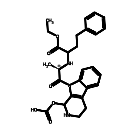 CCOC(=O)C(CCc1ccccc1)N[C@@H](C)C(=O)n1c2c(c3ccccc31)CCNC2OC(=O)O